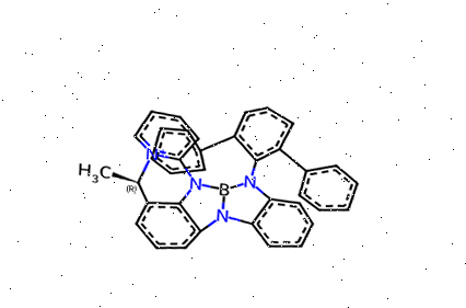 C[C@@H]1c2cccc3c2N(B2N3c3ccccc3N2c2c(-c3ccccc3)cccc2-c2ccccc2)c2cccc[n+]21